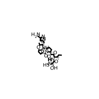 CC[C@H](C)C(NC(=O)[C@H](CO)NS)C(=O)C(=O)[C@@H]1CCCN1C(=O)[C@@H]1CCCN1N[C@@H](Cn1cc(CN)nn1)C(C)=O